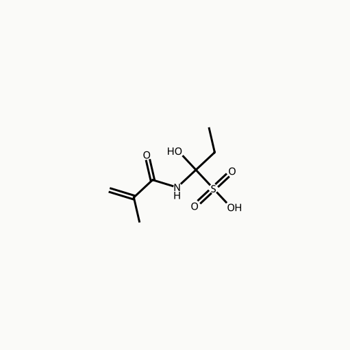 C=C(C)C(=O)NC(O)(CC)S(=O)(=O)O